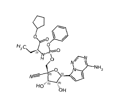 CC[C@H](NP(=O)(OC[C@@]1(C#N)O[C@@H](c2ccc3c(N)ncnn23)[C@H](O)[C@@H]1O)Oc1ccccc1)C(=O)OC1CCCC1